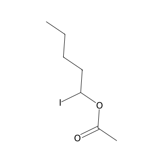 CCCCC(I)OC(C)=O